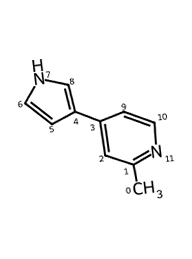 Cc1cc(-c2cc[nH]c2)ccn1